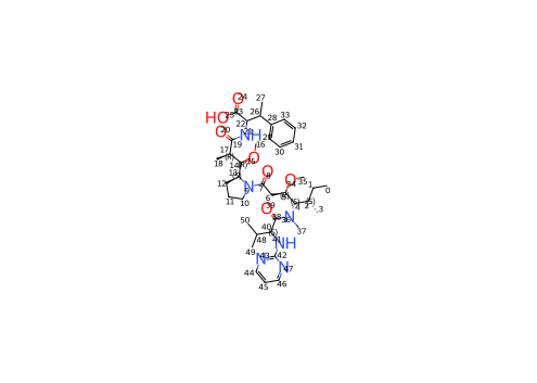 CC[C@H](C)[C@@H]([C@@H](CC(=O)N1CCC[C@H]1[C@H](OC)[C@@H](C)C(=O)NC(C(=O)O)C(C)c1ccccc1)OC)N(C)C(=O)[C@@H](Nc1ncccn1)C(C)C